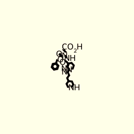 O=C(O)CCN(NC(=O)C1=C2N=NC(CCC3CCNCC3)N2CCC1)C(=O)OCc1ccccc1